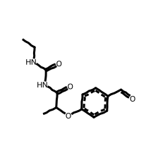 CCNC(=O)NC(=O)C(C)Oc1ccc(C=O)cc1